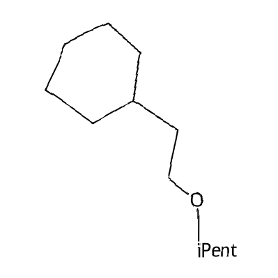 CCCC(C)OCCC1CCCCC1